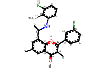 Cc1cc(C(C)Nc2cccc(F)c2C(=O)O)c2oc(-c3cccc(F)c3)c(C)c(=O)c2c1